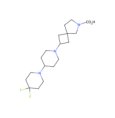 O=C(O)N1CCC2(CC(N3CCC(N4CCC(F)(F)CC4)CC3)C2)C1